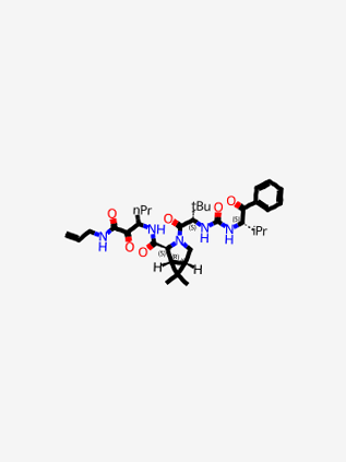 C=CCNC(=O)C(=O)C(CCC)NC(=O)[C@@H]1[C@@H]2[C@H](CN1C(=O)[C@@H](NC(=O)N[C@H](C(=O)c1ccccc1)C(C)C)C(C)(C)C)C2(C)C